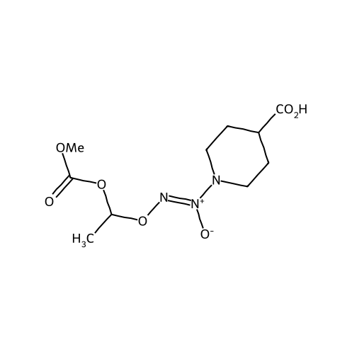 COC(=O)OC(C)O/N=[N+](\[O-])N1CCC(C(=O)O)CC1